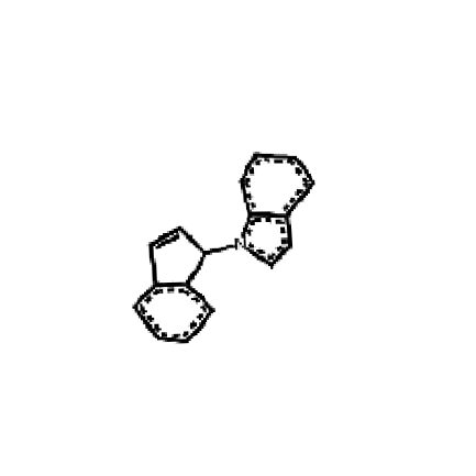 [c]1cc2ccccc2n1C1C=Cc2ccccc21